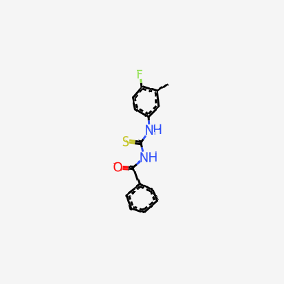 Cc1cc(NC(=S)NC(=O)c2ccccc2)ccc1F